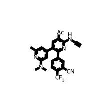 C#CNc1nc(-c2ccc(C(F)(F)F)c(C#N)c2)c(-c2cc(C)nc(N(C)C)c2)cc1C(C)=O